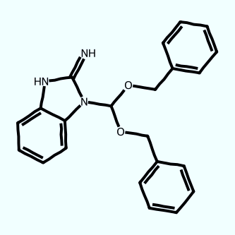 N=c1[nH]c2ccccc2n1C(OCc1ccccc1)OCc1ccccc1